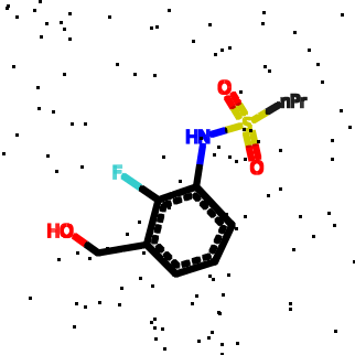 CCCS(=O)(=O)Nc1cccc(CO)c1F